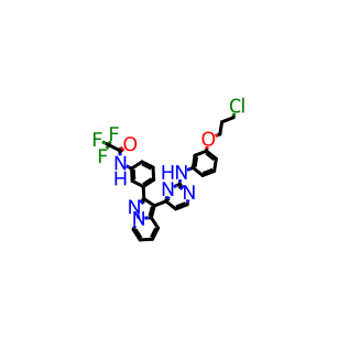 O=C(Nc1cccc(-c2nn3ccccc3c2-c2ccnc(Nc3cccc(OCCCCl)c3)n2)c1)C(F)(F)F